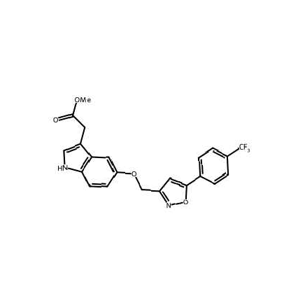 COC(=O)Cc1c[nH]c2ccc(OCc3cc(-c4ccc(C(F)(F)F)cc4)on3)cc12